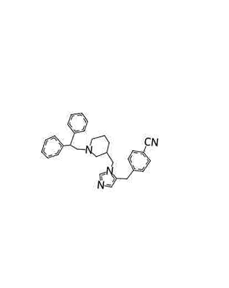 N#Cc1ccc(Cc2cncn2CC2CCCN(CC(c3ccccc3)c3ccccc3)C2)cc1